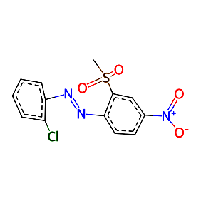 CS(=O)(=O)c1cc([N+](=O)[O-])ccc1/N=N/c1ccccc1Cl